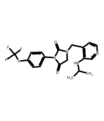 CC(C)Nc1cnccc1CN1CC(=O)N(c2ccc(OC(F)(F)F)cc2)C1=O